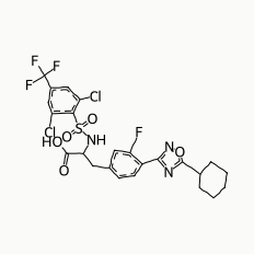 O=C(O)C(Cc1ccc(-c2noc(C3CCCCC3)n2)c(F)c1)NS(=O)(=O)c1c(Cl)cc(C(F)(F)F)cc1Cl